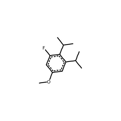 COc1cc(F)c(C(C)C)c(C(C)C)c1